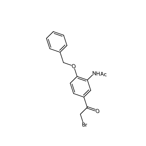 CC(=O)Nc1cc(C(=O)CBr)ccc1OCc1ccccc1